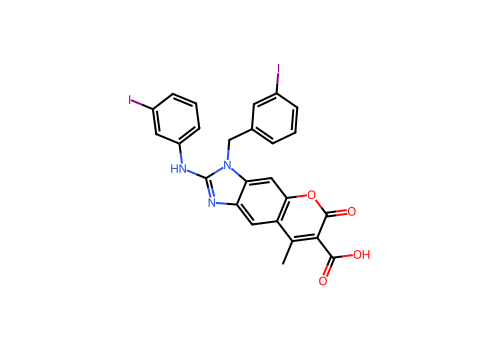 Cc1c(C(=O)O)c(=O)oc2cc3c(cc12)nc(Nc1cccc(I)c1)n3Cc1cccc(I)c1